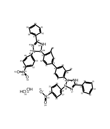 Cc1cc(-c2ccc(N3NC(c4ccccc4)=NN3c3ccc([N+](=O)[O-])cc3)c(C)c2)ccc1N1NC(c2ccccc2)=NN1c1ccc([N+](=O)[O-])cc1.Cl.Cl